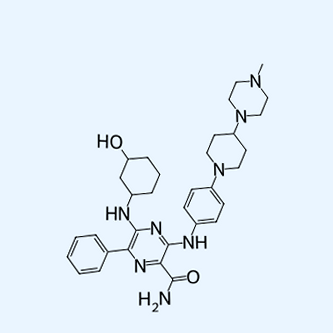 CN1CCN(C2CCN(c3ccc(Nc4nc(NC5CCCC(O)C5)c(-c5ccccc5)nc4C(N)=O)cc3)CC2)CC1